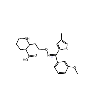 COc1cccc(/C(=N/OCCC2NCCCC2C(=O)O)c2cc(C)cs2)c1